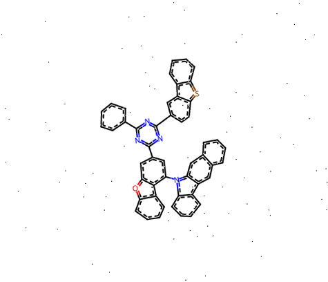 c1ccc(-c2nc(-c3cc(-n4c5ccccc5c5cc6ccccc6cc54)c4c(c3)oc3ccccc34)nc(-c3ccc4sc5ccccc5c4c3)n2)cc1